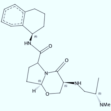 CN[C@@H](C)CN[C@H]1CO[C@H]2CCC(C(=O)N[C@@H]3CCCc4ccccc43)N2C1=O